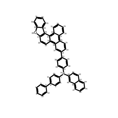 c1ccc(-c2ccc(N(c3ccc(-c4ccc5c6ccccc6c6c(ccc7oc8ccccc8c76)c5c4)cc3)c3ccc4ccccc4c3)cc2)cc1